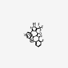 COC(=O)c1c(-c2c(F)cccc2Cl)noc1-c1c(-c2cccc(Cl)c2)n[nH]c1C(F)(F)F